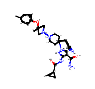 Cc1ccc(OC2(C)CN(N3CCC(CC#N)(n4cc(C(N)=O)c(NC(=O)C5CC5)n4)CC3)C2)cc1